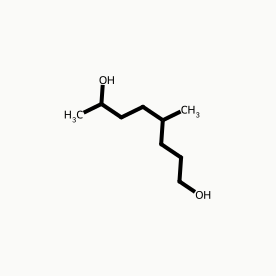 CC(O)CCC(C)CCCO